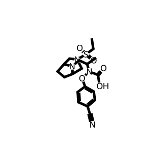 CCS(=O)(=O)N1CC2CCC(C1)N2CC(C)N(Oc1ccc(C#N)cc1)C(=O)O